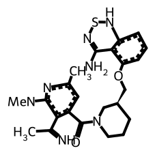 CNc1nc(C)cc(C(=O)N2CCC[C@H](COc3cccc4c3C(N)=NSN4)C2)c1C(C)=N